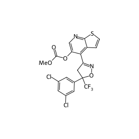 COC(=O)Oc1cnc2sccc2c1C1=NOC(c2cc(Cl)cc(Cl)c2)(C(F)(F)F)C1